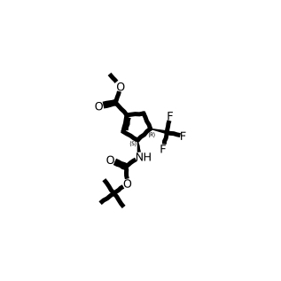 COC(=O)C1=C[C@H](NC(=O)OC(C)(C)C)[C@H](C(F)(F)F)C1